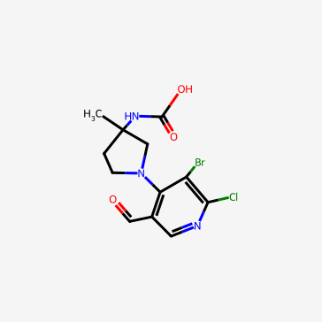 CC1(NC(=O)O)CCN(c2c(C=O)cnc(Cl)c2Br)C1